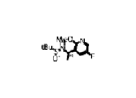 COc1ncc(F)cc1[C@@H](C)N[S+]([O-])C(C)(C)C